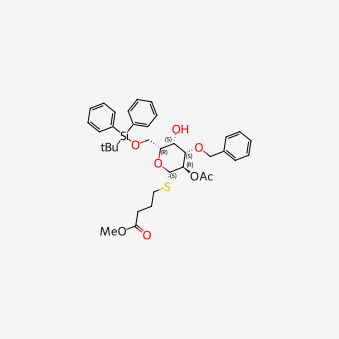 COC(=O)CCCS[C@@H]1O[C@H](CO[Si](c2ccccc2)(c2ccccc2)C(C)(C)C)[C@H](O)[C@H](OCc2ccccc2)[C@H]1OC(C)=O